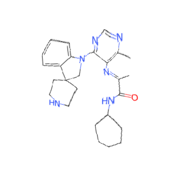 C/C(=N\c1c(C)ncnc1N1CC2(CCNCC2)c2ccccc21)C(=O)NC1CCCCC1